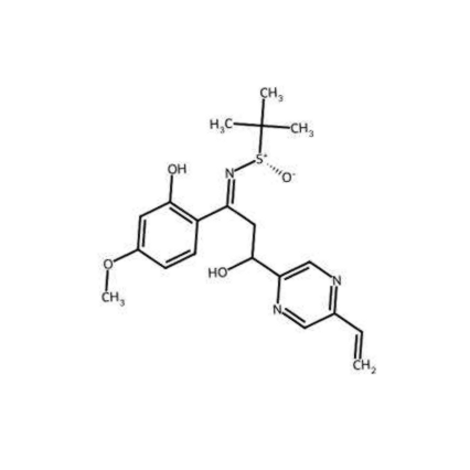 C=Cc1cnc(C(O)C/C(=N\[S@@+]([O-])C(C)(C)C)c2ccc(OC)cc2O)cn1